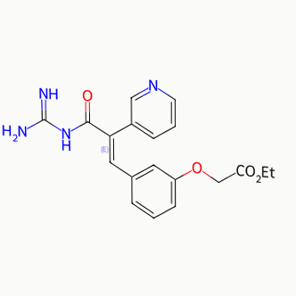 CCOC(=O)COc1cccc(/C=C(/C(=O)NC(=N)N)c2cccnc2)c1